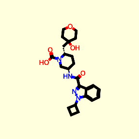 O=C(N[C@H]1CC[C@@H](CC2(O)CCOCC2)N(C(=O)O)C1)c1nn(C2CCC2)c2ccccc12